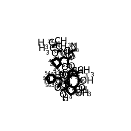 CC(=O)O[C@@]12CO[C@@H]1C[C@H](O)[C@@]1(C)C(=O)[C@H](O)C3=C(C)[C@@H](OC(=O)C(OC(=O)CN)C(NC(=O)OC(C)(C)C)c4ccccc4)C[C@@](O)([C@@H](OC(=O)c4ccccc4)[C@H]21)C3(C)C